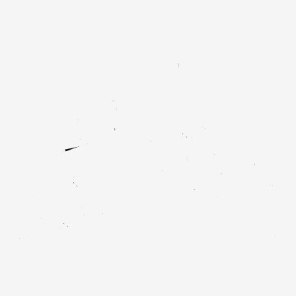 CC(C)OC(=O)[C@H](C)NP(=O)(OCC1OC(n2ccc(=O)[nH]c2=O)[C@](C)(F)[C@@H]1O)Oc1ccc(Br)cc1